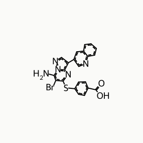 Nc1c(Br)c(Sc2ccc(C(=O)O)cc2)nc2c(-c3cnc4ccccc4c3)cnn12